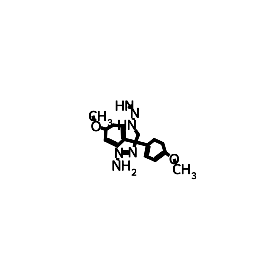 COC1=CC=C(C(CNN=N)(N=NN)C2=CCC(OC)C=C2)CC1